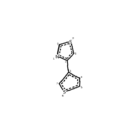 [c]1nc(-c2ccsc2)cs1